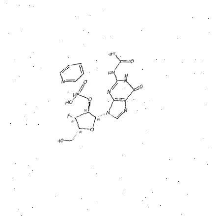 CC(C)C(=O)Nc1nc2c(ncn2[C@@H]2O[C@H](CO)[C@H](F)[C@H]2O[PH](=O)O)c(=O)[nH]1.c1ccncc1